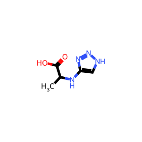 CC(Nc1c[nH]nn1)C(=O)O